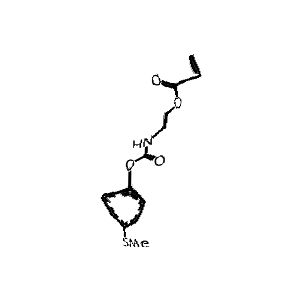 C=CC(=O)OCCNC(=O)Oc1ccc(SC)cc1